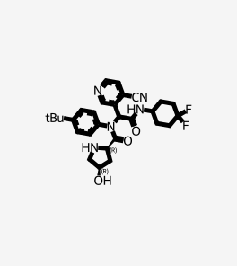 CC(C)(C)c1ccc(N(C(=O)[C@H]2C[C@@H](O)CN2)C(C(=O)NC2CCC(F)(F)CC2)c2cnccc2C#N)cc1